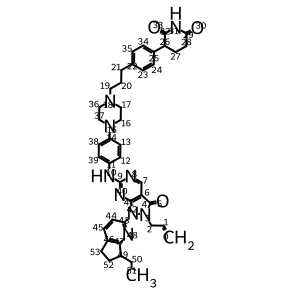 C=CCn1c(=O)c2cnc(Nc3ccc(N4CCN(CCCc5ccc(C6CCC(=O)NC6=O)cc5)CC4)cc3)nc2n1-c1ccc2c(n1)C(CC)CC2